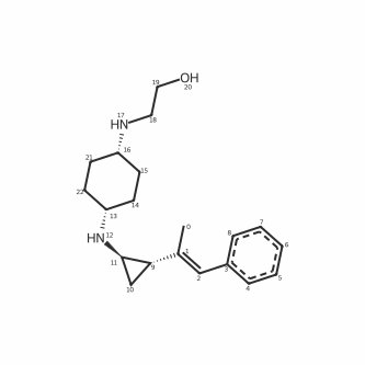 C/C(=C\c1ccccc1)[C@@H]1C[C@H]1N[C@H]1CC[C@@H](NCCO)CC1